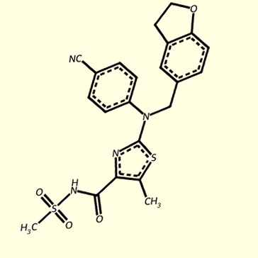 Cc1sc(N(Cc2ccc3c(c2)CCO3)c2ccc(C#N)cc2)nc1C(=O)NS(C)(=O)=O